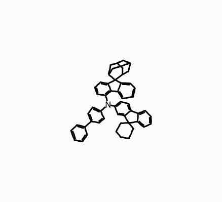 c1ccc(-c2ccc(N(c3ccc4c(c3)C3(CCCCC3)c3ccccc3-4)c3cccc4c3-c3ccccc3C43C4CC5CC(C4)CC3C5)cc2)cc1